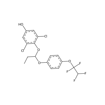 CCC(Oc1ccc(OC(F)(F)C(F)F)cc1)Oc1c(Cl)cc(O)cc1Cl